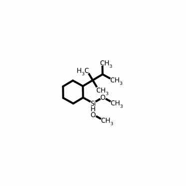 CO[SiH](OC)C1CCCCC1C(C)(C)C(C)C